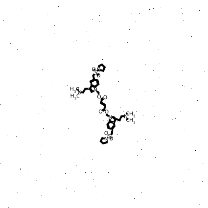 CN(C)CCc1cn(COC(=O)/C=C/C(=O)OCn2cc(CCN(C)C)c3cc(CS(=O)(=O)N4CCCC4)ccc32)c2ccc(CS(=O)(=O)N3CCCC3)cc12